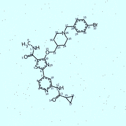 CNC(=O)c1sc(-c2ccnc(NC(=O)C3CC3)c2)nc1OCC1CCN(Cc2ccc(Br)cc2)CC1